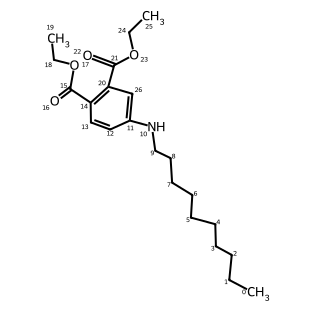 CCCCCCCCCCNc1ccc(C(=O)OCC)c(C(=O)OCC)c1